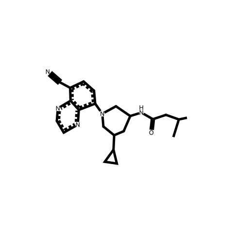 CC(C)CC(=O)NC1CC(C2CC2)CN(c2ccc(C#N)c3nccnc23)C1